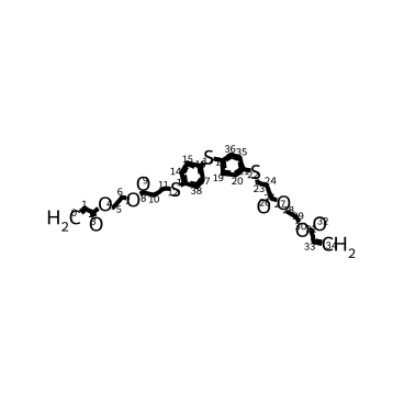 C=CC(=O)OCCOC(=O)CCSc1ccc(Sc2ccc(SCCC(=O)OCCOC(=O)C=C)cc2)cc1